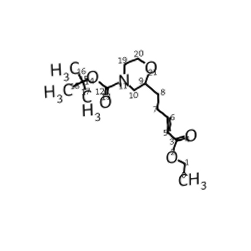 CCOC(=O)C=CCCC1CN(C(=O)OC(C)(C)C)CCO1